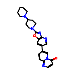 O=c1ccnc2ccc(-c3cnc4nc(N5CCC(N6CCCCC6)CC5)oc4c3)cn12